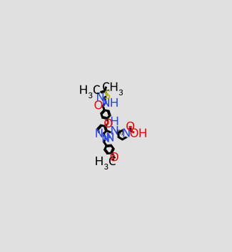 COc1ccc(Cn2nc(N[C@@H]3CCCN(C(=O)O)C3)c3c(Oc4ccc(C(=O)Nc5nc(C)c(C)s5)cc4)ccnc32)cc1